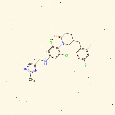 Cc1nc(CNc2cc(Cl)c(N3CC(Cc4ccc(F)cc4F)CCC3=O)c(Cl)c2)c[nH]1